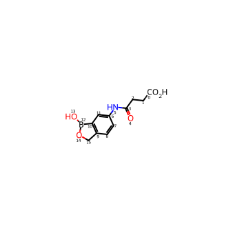 O=C(O)CCC(=O)Nc1ccc2c(c1)B(O)OC2